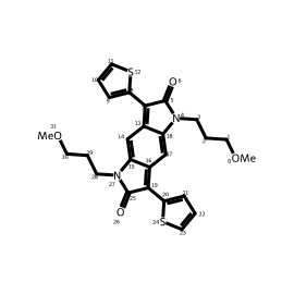 COCCCN1C(=O)C(c2cccs2)=c2cc3c(cc21)=C(c1cccs1)C(=O)N3CCCOC